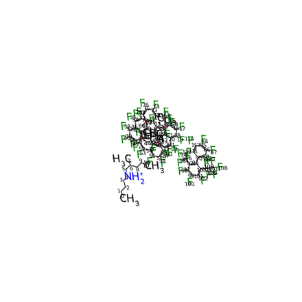 CCCC[NH2+]CC(C)CCC.CCc1c(F)c(F)c(F)c2c(F)c(F)c(F)c([B-](c3c(F)c(F)c(F)c4c(F)c(F)c(F)c(CC)c34)(c3c(F)c(F)c(F)c4c(F)c(F)c(F)c(CC)c34)c3c(F)c(F)c(F)c4c(F)c(F)c(F)c(CC)c34)c12.Fc1c(F)c(F)c(-c2c(C(F)(F)F)c(F)c(F)c(F)c2C(F)(F)C(F)(F)F)c(F)c1F